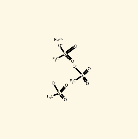 O=S(=O)([O-])C(F)(F)F.O=S(=O)([O-])C(F)(F)F.O=S(=O)([O-])C(F)(F)F.[Ru+3]